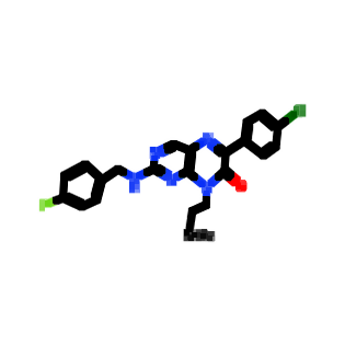 CC(=O)NCCn1c(=O)c(-c2ccc(Cl)cc2)nc2cnc(NCc3ccc(F)cc3)nc21